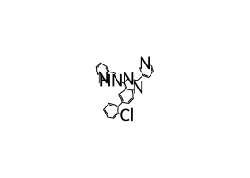 Clc1ccccc1-c1ccc2nc(-c3cccnc3)nc(NCc3ccccn3)c2c1